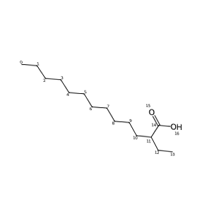 CCCCCCCCCCCC(CC)C(=O)O